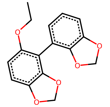 CCOc1ccc2c(c1-c1cccc3c1OCO3)OCO2